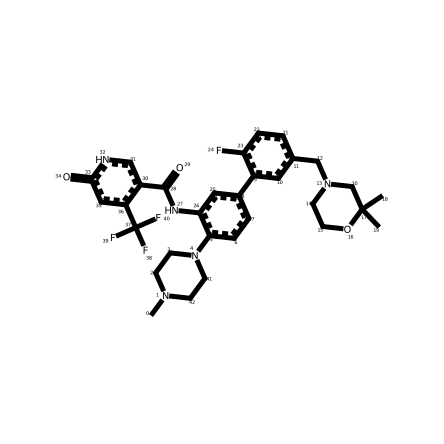 CN1CCN(c2ccc(-c3cc(CN4CCOC(C)(C)C4)ccc3F)cc2NC(=O)c2c[nH]c(=O)cc2C(F)(F)F)CC1